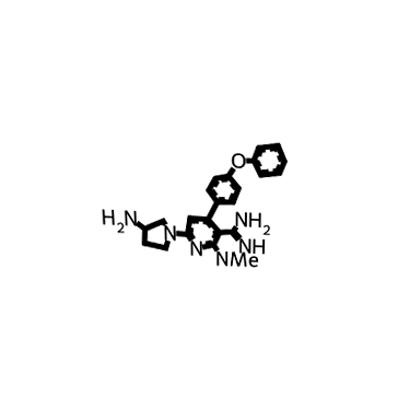 CNc1nc(N2CCC(N)C2)cc(-c2ccc(Oc3ccccc3)cc2)c1C(=N)N